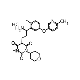 Cc1ccc(Oc2ccc(F)c(C(N)CCC3C(=O)NC(=O)N(C4CCOCC4)C3=O)c2)cn1.Cl